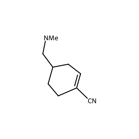 CNCC1CC=C(C#N)CC1